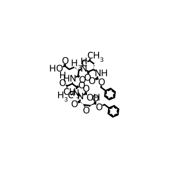 CC(C)C[C@H](NC(=O)OCc1ccccc1)C(=O)N[C@@H](CCC(=O)O)C(=O)N[C@H](C(=O)N(C)N(C(=O)O)C(=O)[C@H]1O[C@@H]1C(=O)OCc1ccccc1)[C@@H](C)O